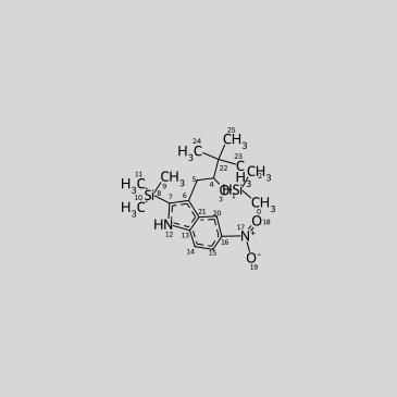 C[SiH](C)OC(Cc1c([Si](C)(C)C)[nH]c2ccc([N+](=O)[O-])cc12)C(C)(C)C